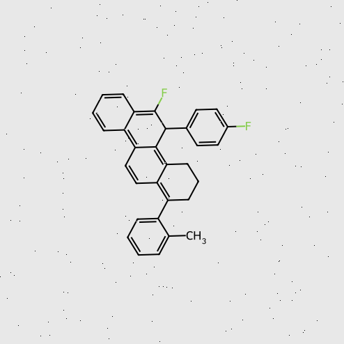 Cc1ccccc1C1=c2ccc3c(c2CCC1)C(c1ccc(F)cc1)C(F)=c1ccccc1=3